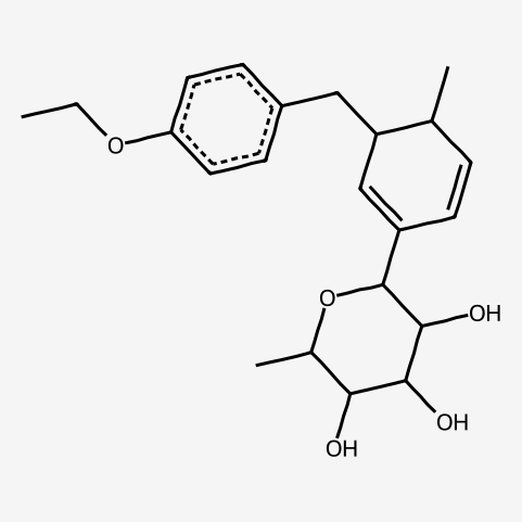 CCOc1ccc(CC2C=C(C3OC(C)C(O)C(O)C3O)C=CC2C)cc1